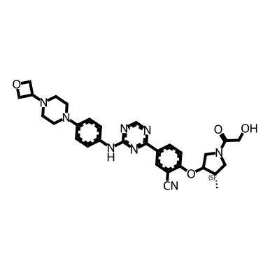 C[C@H]1CN(C(=O)CO)CC1Oc1ccc(-c2ncnc(Nc3ccc(N4CCN(C5COC5)CC4)cc3)n2)cc1C#N